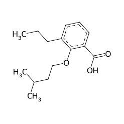 CCCc1cccc(C(=O)O)c1OCCC(C)C